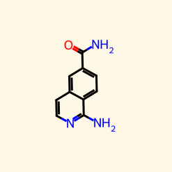 NC(=O)c1ccc2c(N)nccc2c1